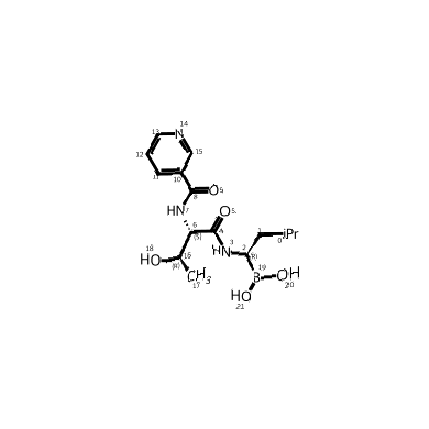 CC(C)C[C@H](NC(=O)[C@@H](NC(=O)c1cccnc1)[C@@H](C)O)B(O)O